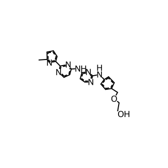 Cc1cccc(-c2nccc(Nc3ccnc(Nc4ccc(COCCO)cc4)n3)n2)n1